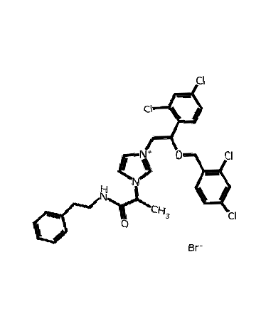 CC(C(=O)NCCc1ccccc1)n1cc[n+](CC(OCc2ccc(Cl)cc2Cl)c2ccc(Cl)cc2Cl)c1.[Br-]